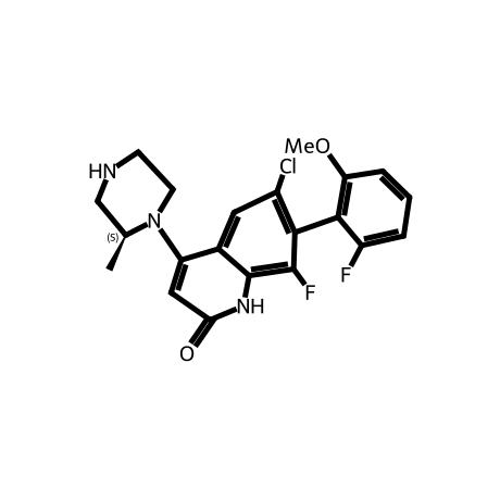 COc1cccc(F)c1-c1c(Cl)cc2c(N3CCNC[C@@H]3C)cc(=O)[nH]c2c1F